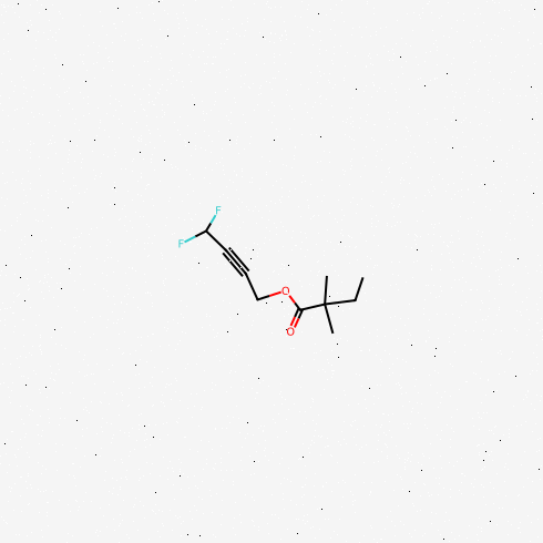 CCC(C)(C)C(=O)OCC#CC(F)F